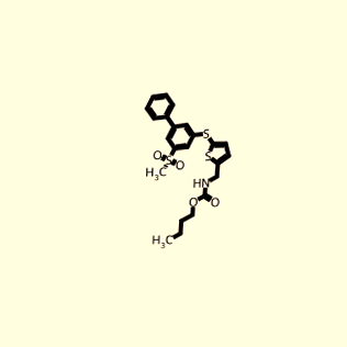 CCCCOC(=O)NCc1ccc(Sc2cc(-c3ccccc3)cc(S(C)(=O)=O)c2)s1